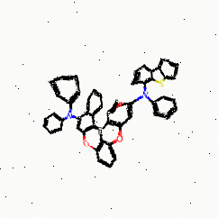 c1ccc(N(c2ccccc2)c2cc3c(c4ccccc24)B2c4c(cccc4Oc4cc(N(c5ccccc5)c5cccc6c5sc5ccccc56)c5ccccc5c42)O3)cc1